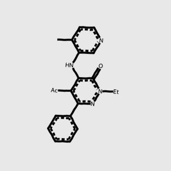 CCn1nc(-c2ccccc2)c(C(C)=O)c(Nc2cnccc2C)c1=O